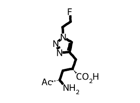 CC(=O)[C@@H](N)C[C@H](Cc1cn(CCF)nn1)C(=O)O